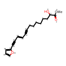 COC(=O)C(O)CCCCCCC#CC=CC#Cc1ccco1